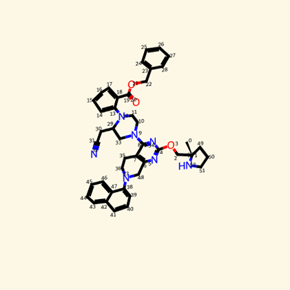 C[C@@]1(COc2nc3c(c(N4CCN(c5ccccc5C(=O)OCc5ccccc5)C(CC#N)C4)n2)CCN(c2cccc4ccccc24)C3)CCCN1